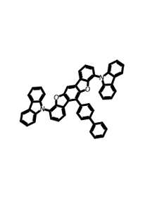 c1ccc(-c2ccc(-c3c4oc5c(-n6c7ccccc7c7ccccc76)cccc5c4cc4oc5c(-n6c7ccccc7c7ccccc76)cccc5c34)cc2)cc1